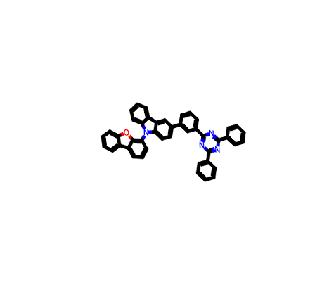 c1ccc(-c2nc(-c3ccccc3)nc(-c3cccc(-c4ccc5c(c4)c4ccccc4n5-c4cccc5c4oc4ccccc45)c3)n2)cc1